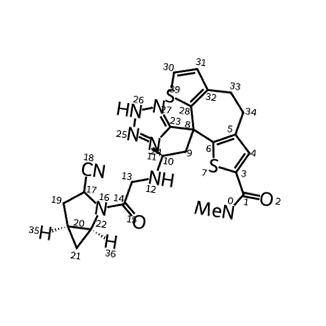 CNC(=O)c1cc2c(s1)C(C[C@H](C)NCC(=O)N1C(C#N)C[C@@H]3C[C@@H]31)(c1nn[nH]n1)c1sccc1CC2